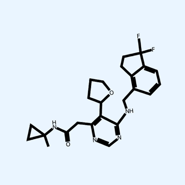 CC1(NC(=O)Cc2ncnc(NCc3cccc4c3CCC4(F)F)c2C2CCCO2)CC1